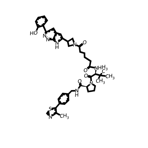 Cc1ncsc1-c1ccc(CNC(=O)[C@@H]2CCCN2C(=O)[C@@H](NC(=O)CCCCC(=O)N2CC(c3cc4cc(-c5ccccc5O)nnc4[nH]3)C2)C(C)(C)C)cc1